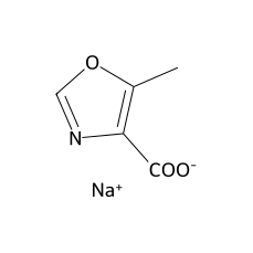 Cc1ocnc1C(=O)[O-].[Na+]